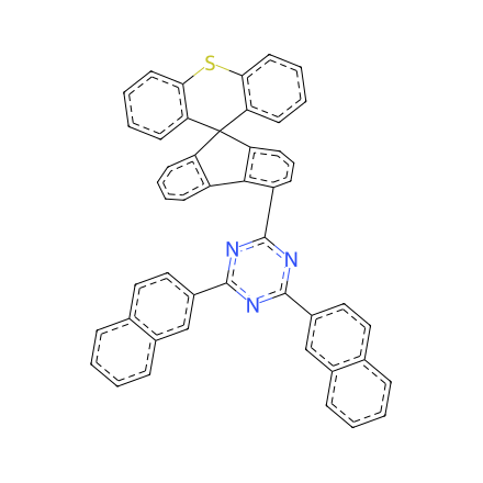 c1ccc2c(c1)Sc1ccccc1C21c2ccccc2-c2c(-c3nc(-c4ccc5ccccc5c4)nc(-c4ccc5ccccc5c4)n3)cccc21